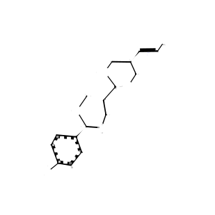 C/C=C/[C@H]1CO[C@H]([C@H]2CO[C@H](c3ccc(C(F)(F)F)cc3)OC2)OC1